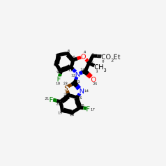 CCOC(=O)CC1(C)Oc2cccc(F)c2N(c2nc3c(F)ccc(F)c3s2)C1=O